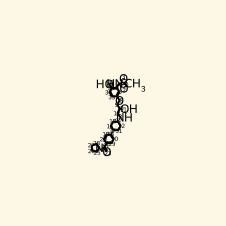 CS(=O)(=O)Nc1cc(OC[C@@H](O)CN[C@H]2CC[C@H](c3ccc(C(=O)N4CCCC4)cc3)CC2)ccc1O